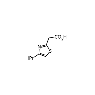 CC(C)c1csc(CC(=O)O)n1